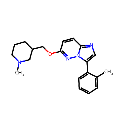 Cc1ccccc1-c1cnc2ccc(OCC3CCCN(C)C3)nn12